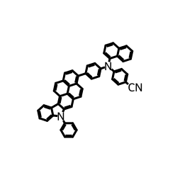 N#Cc1ccc(N(c2ccc(-c3ccc4ccc5c6c(ccc3c46)cc3c5c4ccccc4n3-c3ccccc3)cc2)c2cccc3ccccc23)cc1